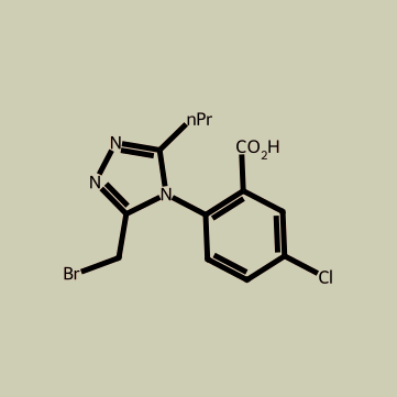 CCCc1nnc(CBr)n1-c1ccc(Cl)cc1C(=O)O